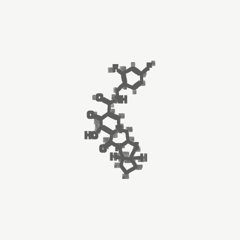 O=C(NCc1ccc(F)cc1F)c1cn2c(c(O)c1=O)C(=O)N1C(C2)S[C@@H]2CCC[C@@H]21